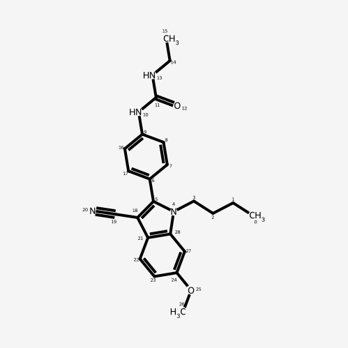 CCCCn1c(-c2ccc(NC(=O)NCC)cc2)c(C#N)c2ccc(OC)cc21